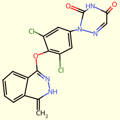 C=C1NN=C(Oc2c(Cl)cc(-n3ncc(=O)[nH]c3=O)cc2Cl)c2ccccc21